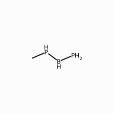 CPBP